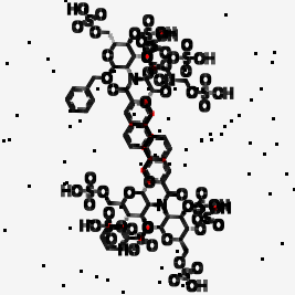 O=C(c1ccc(/C=C/c2ccc(C(=O)N([C@@H]3[C@@H](OCc4ccccc4)O[C@H](COS(=O)(=O)O)[C@@H](OS(=O)(=O)O)[C@@H]3OS(=O)(=O)O)[C@@H]3[C@@H](OCc4ccccc4)O[C@H](COS(=O)(=O)O)[C@@H](OS(=O)(=O)O)[C@@H]3OS(=O)(=O)O)cc2)cc1)N([C@@H]1[C@@H](OCc2ccccc2)O[C@H](COS(=O)(=O)O)[C@@H](OS(=O)(=O)O)[C@@H]1OS(=O)(=O)O)[C@@H]1[C@@H](OCc2ccccc2)O[C@H](COS(=O)(=O)O)[C@@H](OS(=O)(=O)O)[C@@H]1OS(=O)(=O)O